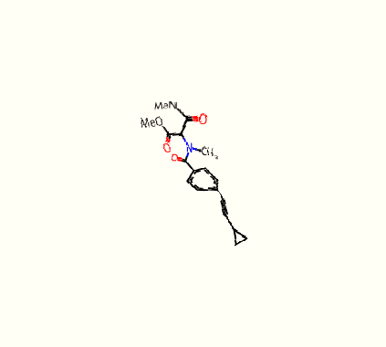 CNC(=O)C(C(=O)OC)N(C)C(=O)c1ccc(C#CC2CC2)cc1